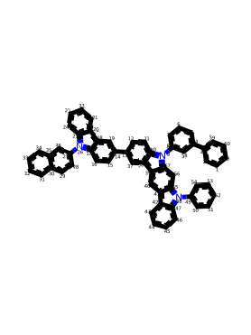 c1ccc(-c2cccc(-n3c4ccc(-c5ccc6c(c5)c5ccccc5n6-c5ccc6ccccc6c5)cc4c4cc5c6ccccc6n(-c6ccccc6)c5cc43)c2)cc1